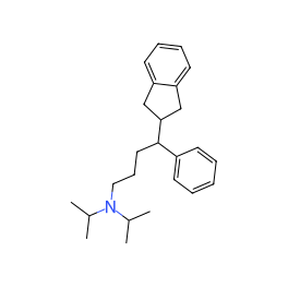 CC(C)N(CCCC(c1ccccc1)C1Cc2ccccc2C1)C(C)C